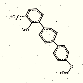 CCCCCCCCCCOc1ccc(-c2ccc(-c3cccc(C(=O)O)c3OC(C)=O)cc2)cc1